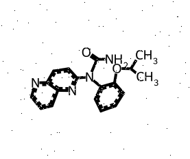 CC(C)Oc1ccccc1N(C(N)=O)c1ccc2ncccc2n1